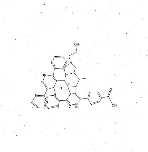 CC1C(c2ncccn2)=NNC(c2ncccn2)=C1C1C2CN(CCO)CC2C(C)C2C3=C(c4ccc(C(=O)O)cc4)NN=C(c4ncccn4)C3[C@H]21